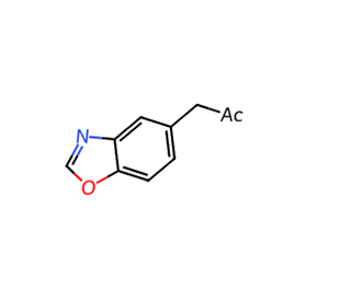 CC(=O)Cc1ccc2ocnc2c1